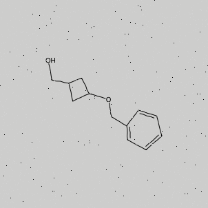 OCC1C[C](OCc2ccccc2)C1